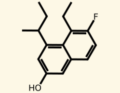 CCc1c(F)ccc2cc(O)cc(C(C)CC)c12